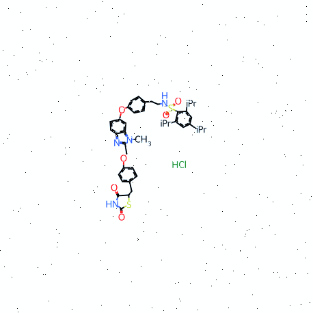 CC(C)c1cc(C(C)C)c(S(=O)(=O)NCCc2ccc(Oc3ccc4nc(COc5ccc(CC6SC(=O)NC6=O)cc5)n(C)c4c3)cc2)c(C(C)C)c1.Cl